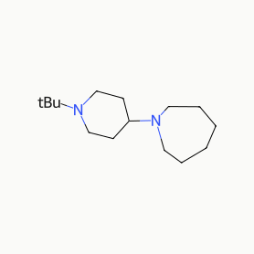 CC(C)(C)N1CCC(N2CCCCCC2)CC1